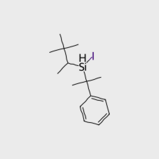 CC([SiH](I)C(C)(C)c1ccccc1)C(C)(C)C